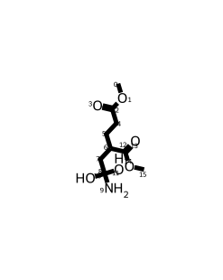 COC(=O)CCC(CC(N)(O)O)C(=O)OC